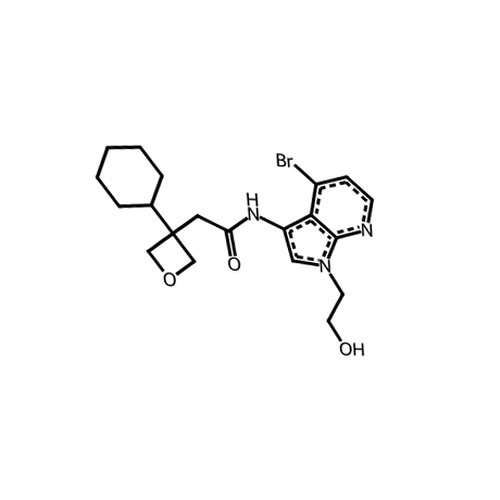 O=C(CC1(C2CCCCC2)COC1)Nc1cn(CCO)c2nccc(Br)c12